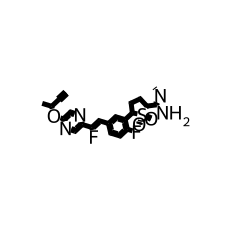 C#CC(C)Oc1cnc(/C(F)=C/c2ccc(F)c(C3CCC(/C(N)=N\C)S3(=O)=O)c2)cn1